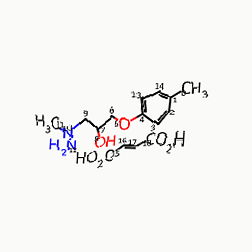 Cc1ccc(OCC(O)CN(C)N)cc1.O=C(O)C=CC(=O)O